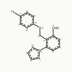 O=Cc1cccc(-n2nccn2)c1COc1ccc(F)cn1